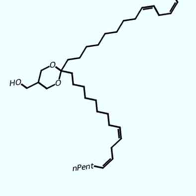 CCCCC/C=C\C/C=C\CCCCCCCCC1(CCCCCCCC/C=C\C/C=C\CCCCC)OCC(CO)CO1